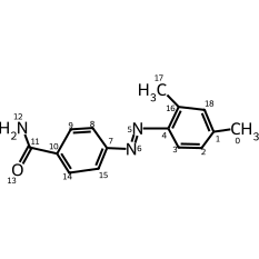 Cc1ccc(N=Nc2ccc(C(N)=O)cc2)c(C)c1